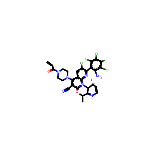 C=CC(=O)N1CCN(c2c(C#N)c(=O)n(C3C(C(C)C)=NC=C[C@H]3C)c3nc(-c4c(N)c(Cl)c(F)c(Cl)c4F)c(Cl)cc23)CC1